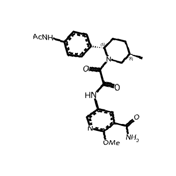 COc1ncc(NC(=O)C(=O)N2C[C@H](C)CC[C@H]2c2ccc(NC(C)=O)cc2)cc1C(N)=O